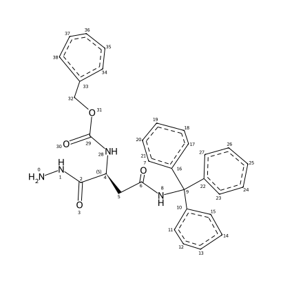 NNC(=O)[C@H](CC(=O)NC(c1ccccc1)(c1ccccc1)c1ccccc1)NC(=O)OCc1ccccc1